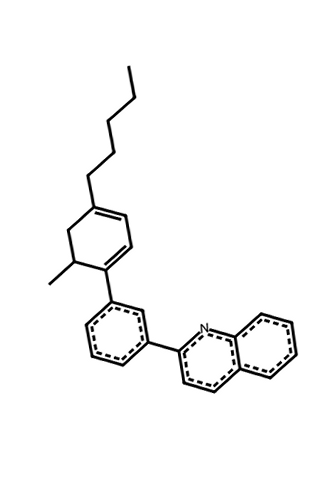 CCCCCC1=CC=C(c2cccc(-c3ccc4ccccc4n3)c2)C(C)C1